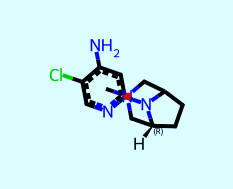 CN1CC2CC[C@H](C1)N2c1cc(N)c(Cl)cn1